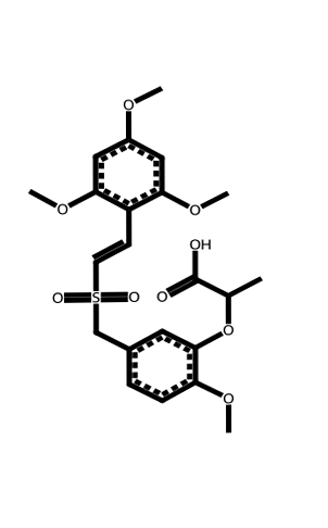 COc1cc(OC)c(C=CS(=O)(=O)Cc2ccc(OC)c(OC(C)C(=O)O)c2)c(OC)c1